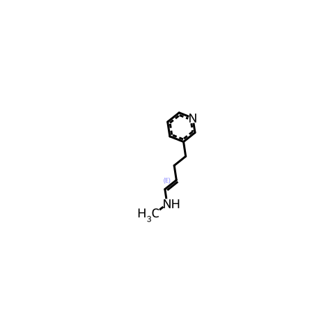 CN/C=C/CCc1cccnc1